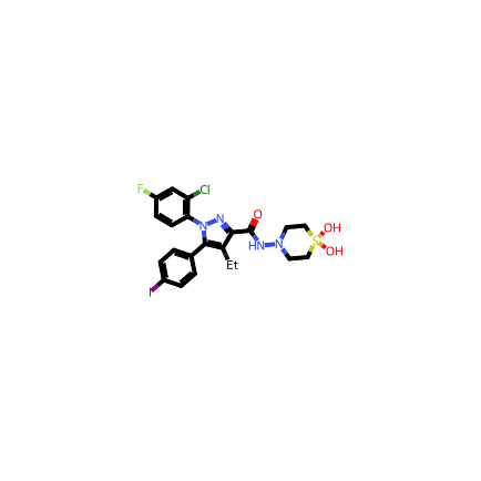 CCc1c(C(=O)NN2CCS(O)(O)CC2)nn(-c2ccc(F)cc2Cl)c1-c1ccc(I)cc1